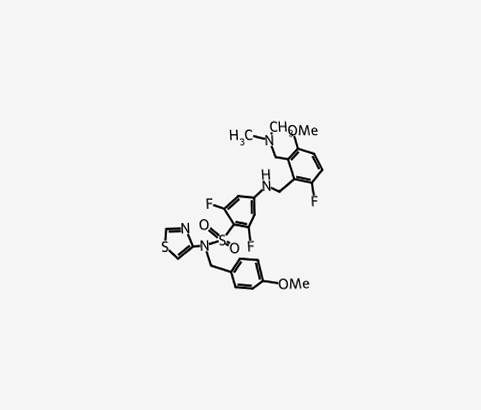 COc1ccc(CN(c2cscn2)S(=O)(=O)c2c(F)cc(NCc3c(F)ccc(OC)c3CN(C)C)cc2F)cc1